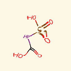 O=C(O)PS(=O)(=O)O